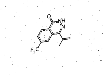 C=C(C)c1n[nH]c(=O)c2ccc(C(F)(F)F)cc12